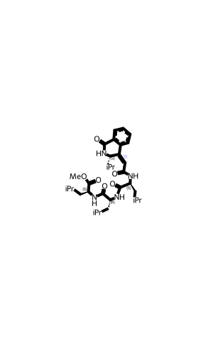 COC(=O)[C@H](CC(C)C)NC(=O)[C@@H](CC(C)C)NC(=O)[C@H](CC(C)C)NC(=O)/C=C1/c2ccccc2C(=O)N[C@H]1C(C)C